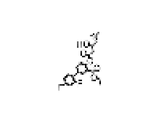 CCOC(=O)c1cc(-c2ccc(F)cc2F)ccc1OC(=O)CC(O)CN(C)C